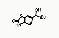 CCCCC(O)c1ccc2[nH]c(=O)sc2c1